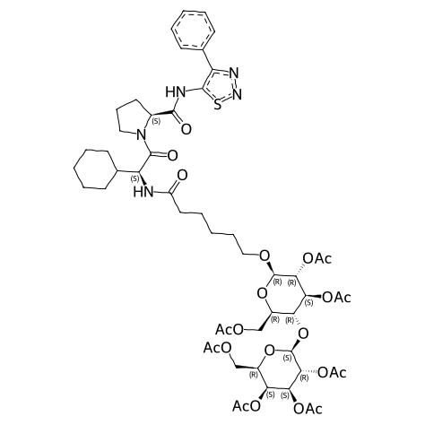 CC(=O)OC[C@H]1O[C@@H](O[C@H]2[C@H](OC(C)=O)[C@@H](OC(C)=O)[C@H](OCCCCCC(=O)N[C@H](C(=O)N3CCC[C@H]3C(=O)Nc3snnc3-c3ccccc3)C3CCCCC3)O[C@@H]2COC(C)=O)[C@H](OC(C)=O)[C@@H](OC(C)=O)[C@H]1OC(C)=O